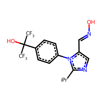 CC(C)c1ncc(/C=N/O)n1-c1ccc(C(O)(C(F)(F)F)C(F)(F)F)cc1